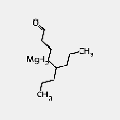 CCCC(CCC)CCCC=O.[MgH2]